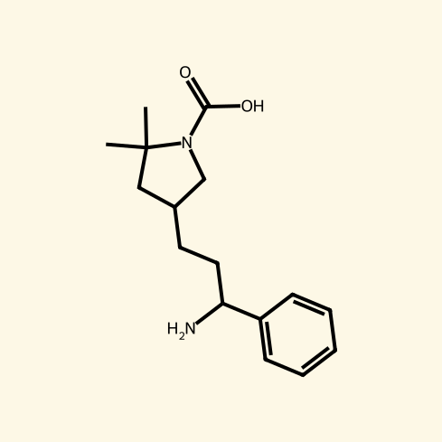 CC1(C)CC(CCC(N)c2ccccc2)CN1C(=O)O